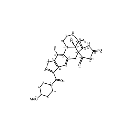 COC1CCN(C(=O)c2noc3c(F)c4c(cc23)CC2(C(=O)NC(=O)NC2=O)[C@H]2[C@H](C)OCCN42)CC1